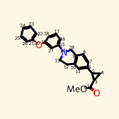 COC(=O)C1CC1c1ccc2c(c1)CCN(c1cccc(Oc3ccccc3)c1)C2